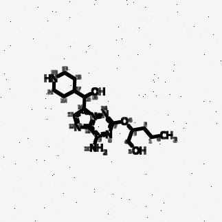 CCCC(CO)Oc1nc(N)c2ncc(C(O)C3CCNCC3)n2n1